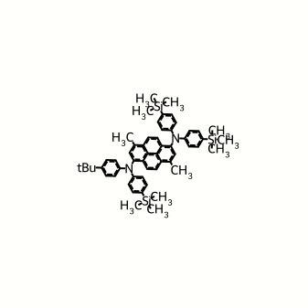 Cc1cc(N(c2ccc(C(C)(C)C)cc2)c2ccc([Si](C)(C)C)cc2)c2ccc3c(C)cc(N(c4ccc([Si](C)(C)C)cc4)c4ccc([Si](C)(C)C)cc4)c4ccc1c2c34